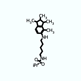 Cc1c(NCCCCCNS(=O)(=O)C(C)C)ccc2c1C(C)C(C)C2C